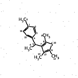 Cc1ccc(C(C)c2c(C)sc(C)c2C)cc1